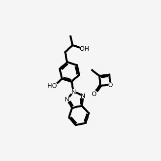 CC(O)Cc1ccc(-n2nc3ccccc3n2)c(O)c1.CC1=COC1=O